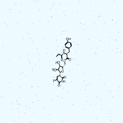 CCC(=O)N[C@@H](Cc1ccc(O)cc1)C(=O)OC[C@@H]1O[C@H](n2cc(F)c(=O)[nH]c2=O)C(O)C1O